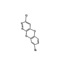 Clc1cc2c(nn1)Oc1cc(Br)ccc1O2